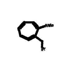 CNC1=CC=CC=C=C1CC(C)C